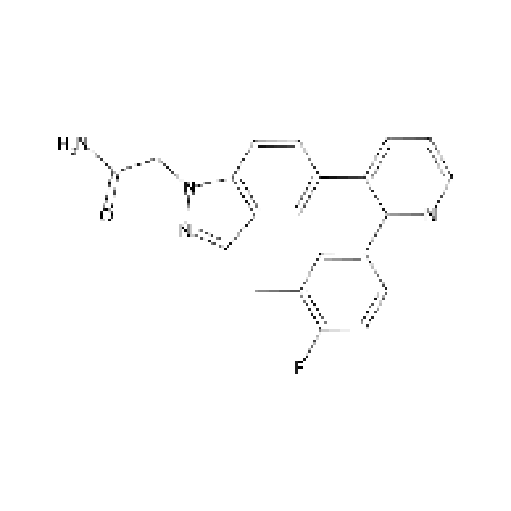 Cc1cc(-c2ncccc2-c2ccc3c(cnn3CC(N)=O)c2)ccc1F